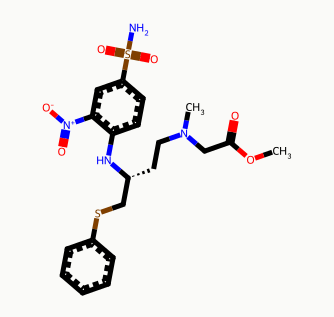 COC(=O)CN(C)CC[C@H](CSc1ccccc1)Nc1ccc(S(N)(=O)=O)cc1[N+](=O)[O-]